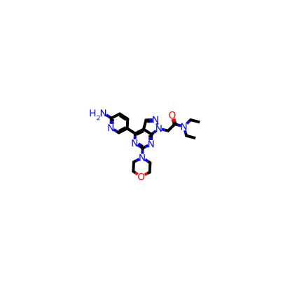 CCN(CC)C(=O)Cn1ncc2c(-c3ccc(N)nc3)nc(N3CCOCC3)nc21